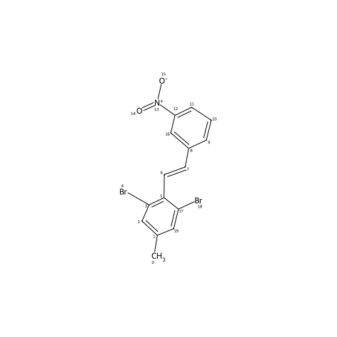 Cc1cc(Br)c(C=Cc2cccc([N+](=O)[O-])c2)c(Br)c1